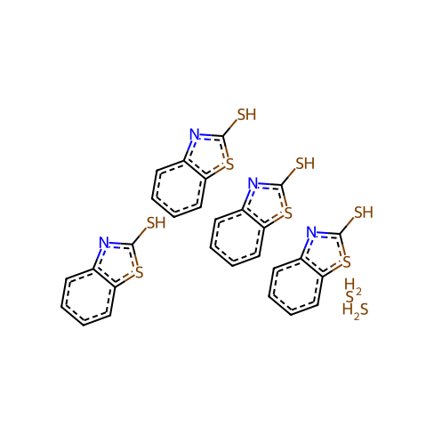 S.S.Sc1nc2ccccc2s1.Sc1nc2ccccc2s1.Sc1nc2ccccc2s1.Sc1nc2ccccc2s1